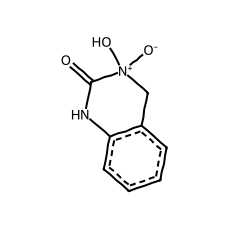 O=C1Nc2ccccc2C[N+]1([O-])O